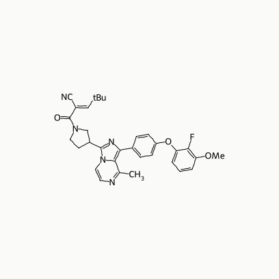 COc1cccc(Oc2ccc(-c3nc(C4CCN(C(=O)C(C#N)=CC(C)(C)C)C4)n4ccnc(C)c34)cc2)c1F